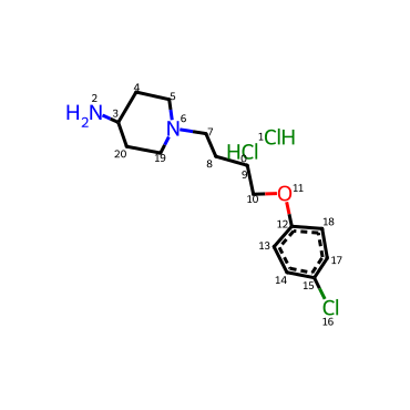 Cl.Cl.NC1CCN(CCCCOc2ccc(Cl)cc2)CC1